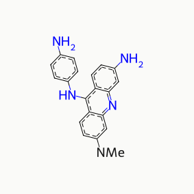 CNc1ccc2c(Nc3ccc(N)cc3)c3ccc(N)cc3nc2c1